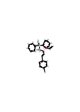 C=CC[C@H](/C=C/c1ccc(C)cc1)NP(=O)(c1ccccc1)c1ccccc1